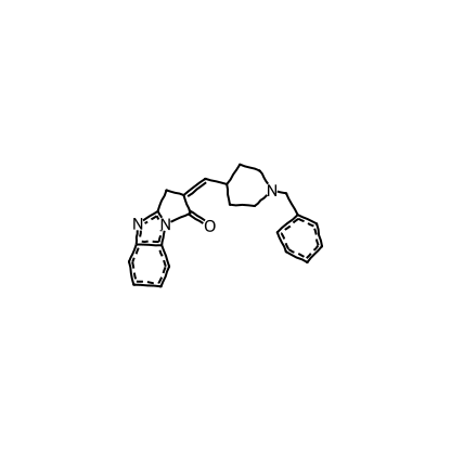 O=C1C(=CC2CCN(Cc3ccccc3)CC2)Cc2nc3ccccc3n21